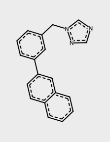 c1cc(Cn2cncn2)cc(-c2ccc3ccccc3c2)c1